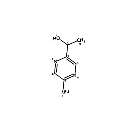 CC(O)c1cnc(C(C)(C)C)cn1